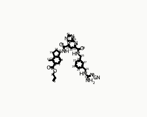 C=CCOC(=O)c1ccc2c(c1C)CC[C@@H]2NC(=O)c1cc(C(=O)NCc2cccc(CNC(N)=NC#N)c2)nc2ncnn12